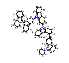 c1ccc(-n2c3ccccc3c3cc(-c4cccc5c4c4ccccc4n5-c4ccc5c6ccccc6n(-c6ccc([Si](c7ccccc7)(c7ccccc7)c7ccccc7)cc6)c5c4)ccc32)cc1